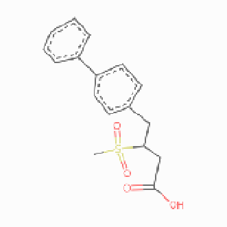 CS(=O)(=O)C(CC(=O)O)Cc1ccc(-c2ccccc2)cc1